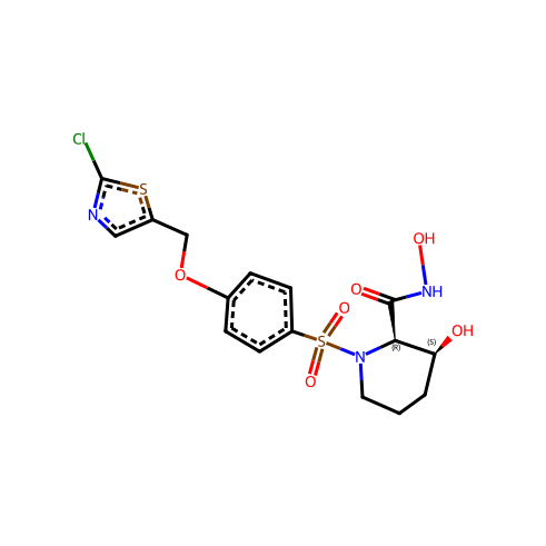 O=C(NO)[C@H]1[C@@H](O)CCCN1S(=O)(=O)c1ccc(OCc2cnc(Cl)s2)cc1